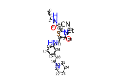 C#CCNC(=O)C(C#N)=c1sc(=CNc2cccc(CCN3CCCCC3)c2)c(=O)n1CC